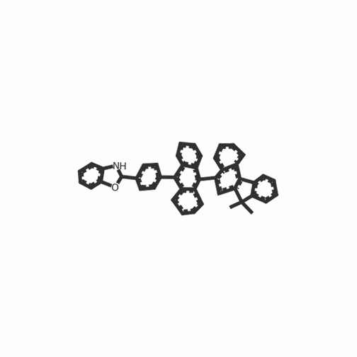 CC1(C)c2ccccc2-c2c1cc(-c1c3ccccc3c(-c3ccc(C4Nc5ccccc5O4)cc3)c3ccccc13)c1ccccc21